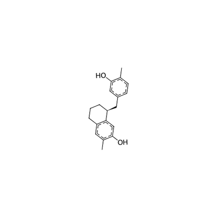 Cc1ccc(C[C@@H]2CCCc3cc(C)c(O)cc32)cc1O